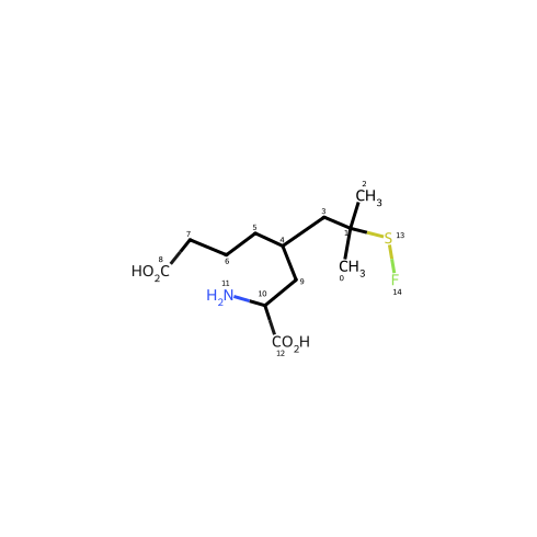 CC(C)(CC(CCCC(=O)O)CC(N)C(=O)O)SF